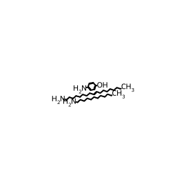 CCCCCCCCC=CCCCCCCCCN.CCCCCCCCCCCCN.Nc1ccc(O)cc1